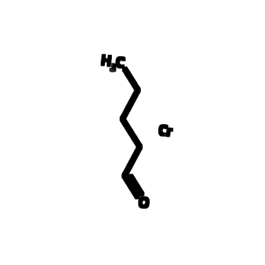 CCCCC=O.[Cr]